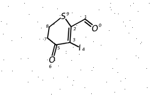 O=CC1=C(I)C(=O)CCS1